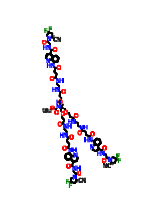 CC(C)(C)OC(=O)NC(COCCC(=O)NCCNC(=O)CCC(=O)Nc1cccc2c(C(=O)NCC(=O)N3CC(F)(F)C[C@H]3C#N)ccnc12)(COCCC(=O)NCCNC(=O)CCC(=O)Nc1cccc2c(C(=O)NCC(=O)N3CC(F)(F)C[C@H]3C#N)ccnc12)COCCC(=O)NCCNC(=O)CCC(=O)Nc1cccc2c(C(=O)NCC(=O)N3CC(F)(F)C[C@H]3C#N)ccnc12